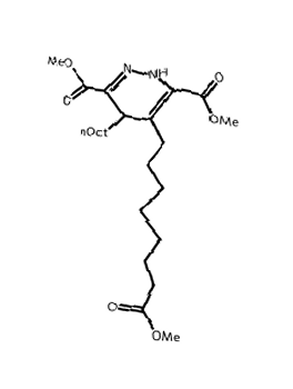 CCCCCCCCC1C(C(=O)OC)=NNC(C(=O)OC)=C1CCCCCCCC(=O)OC